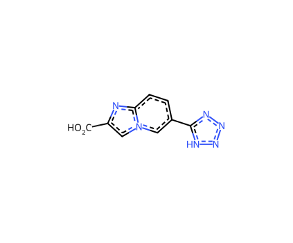 O=C(O)c1cn2cc(-c3nnn[nH]3)ccc2n1